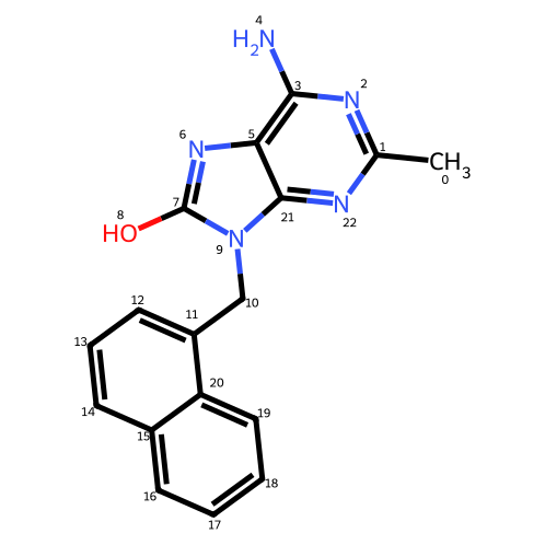 Cc1nc(N)c2nc(O)n(Cc3cccc4ccccc34)c2n1